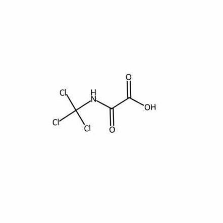 O=C(O)C(=O)NC(Cl)(Cl)Cl